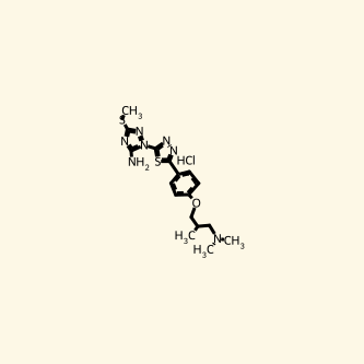 CSc1nc(N)n(-c2nnc(-c3ccc(OCC(C)CN(C)C)cc3)s2)n1.Cl